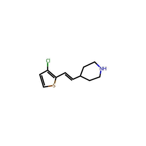 Clc1ccsc1C=CC1CCNCC1